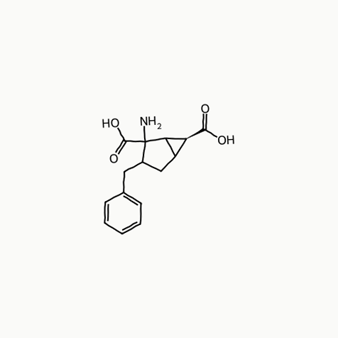 NC1(C(=O)O)C(Cc2ccccc2)CC2C1[C@H]2C(=O)O